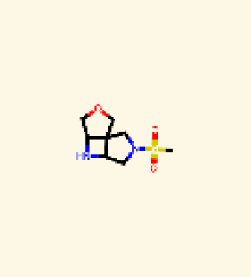 CS(=O)(=O)N1CC2NC3COCC32C1